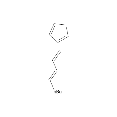 C1=CCC=C1.C=CC=CCCCC